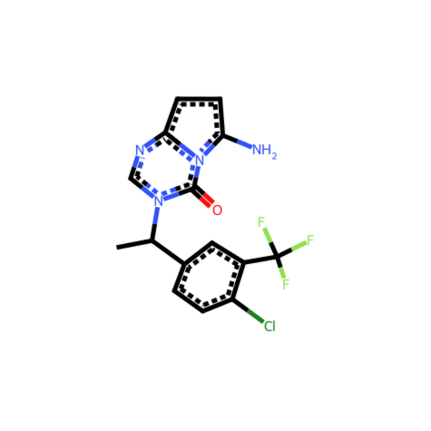 CC(c1ccc(Cl)c(C(F)(F)F)c1)n1cnc2ccc(N)n2c1=O